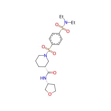 CCN(CC)S(=O)(=O)c1ccc(S(=O)(=O)N2CCC[C@@H](C(=O)N[C@@H]3CCOC3)C2)cc1